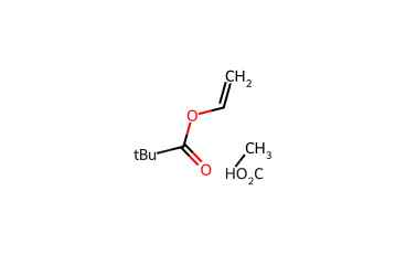 C=COC(=O)C(C)(C)C.CC(=O)O